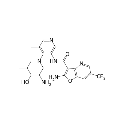 Cc1cncc(NC(=O)c2c(N)oc3cc(C(F)(F)F)cnc23)c1N1CC(C)C(O)C(N)C1